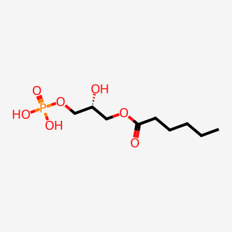 CCCCCC(=O)OC[C@@H](O)COP(=O)(O)O